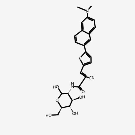 CN(C)c1ccc2cc(-c3ccc(/C=C(\C#N)C(=O)N[C@H]4C(O)O[C@H](CO)[C@@H](O)[C@@H]4O)s3)ccc2c1